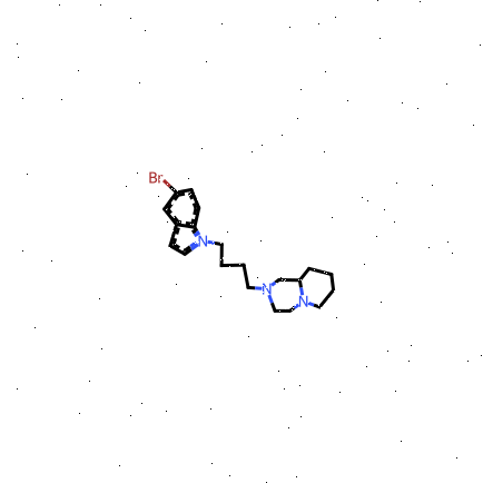 Brc1ccc2c(ccn2CCCCN2CCN3CCCCC3C2)c1